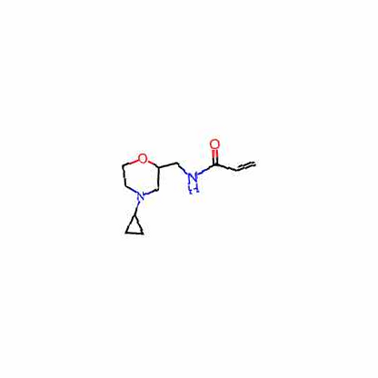 C=CC(=O)NCC1CN(C2CC2)CCO1